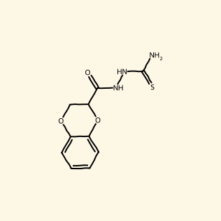 NC(=S)NNC(=O)C1COc2ccccc2O1